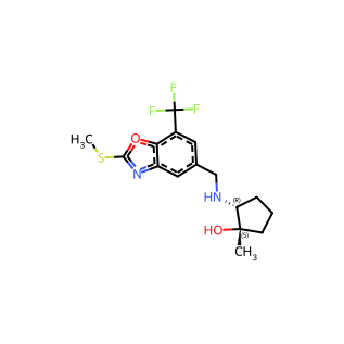 CSc1nc2cc(CN[C@@H]3CCC[C@]3(C)O)cc(C(F)(F)F)c2o1